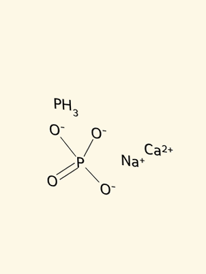 O=P([O-])([O-])[O-].P.[Ca+2].[Na+]